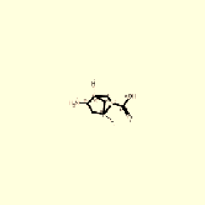 N[C@@H]1C[C@H]2C[C@@H]1CN2C(=O)O